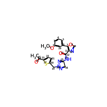 COc1cccc(-c2ocnc2C(=O)Nc2cnn(Cc3ccc(C(C)=O)s3)n2)c1